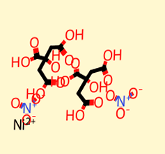 O=C(O)CC(O)(CC(=O)O)C(=O)O.O=C(O)CC(O)(CC(=O)O)C(=O)O.O=[N+]([O-])[O-].O=[N+]([O-])[O-].[Ni+2]